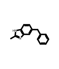 Cc1nc2cc(Cc3ccccc3)ccc2[nH]1